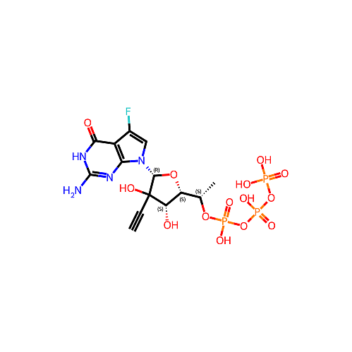 C#CC1(O)[C@@H](O)[C@@H]([C@H](C)OP(=O)(O)OP(=O)(O)OP(=O)(O)O)O[C@H]1n1cc(F)c2c(=O)[nH]c(N)nc21